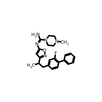 CC(Cc1ccc(-c2ccccc2)c(F)c1)c1cc(N=C(N)N2CCN(C)CC2)on1